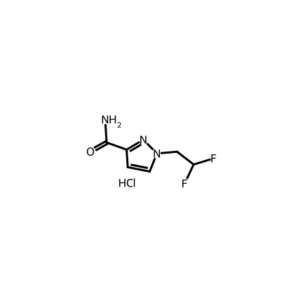 Cl.NC(=O)c1ccn(CC(F)F)n1